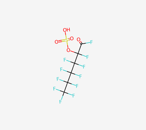 O=C(F)C(F)(OS(=O)(=O)O)C(F)(F)C(F)(F)C(F)(F)C(F)(F)F